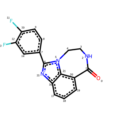 O=C1NCCn2c(-c3ccc(F)c(F)c3)nc3cccc1c32